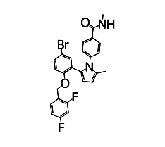 CNC(=O)c1ccc(-n2c(C)ccc2-c2cc(Br)ccc2OCc2ccc(F)cc2F)cc1